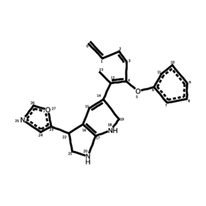 C=C/C=C\C(Oc1ccccc1)=C(/C)C1=CC2=C(NC1)NCC2c1cnco1